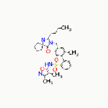 CCCCC1=NC2(CCCC2)C(=O)N1Cc1ccc(-c2ccccc2S(=O)(=O)Nc2onc(C)c2C)c(C)c1